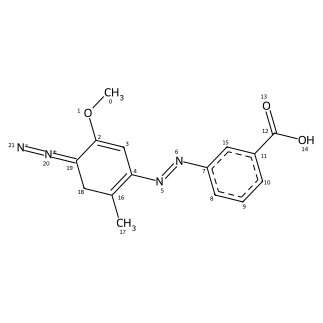 COC1=CC(N=Nc2cccc(C(=O)O)c2)=C(C)CC1=[N+]=[N-]